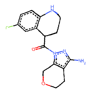 Nc1nn(C(=O)C2CCNc3ccc(F)cc32)c2c1CCOC2